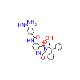 N=C(N)c1ccc(C(=O)Nc2ccc3c(c2)C(=O)N(C(CC(=O)O)C(c2ccccc2)c2ccccc2)CC(=O)N3)cc1